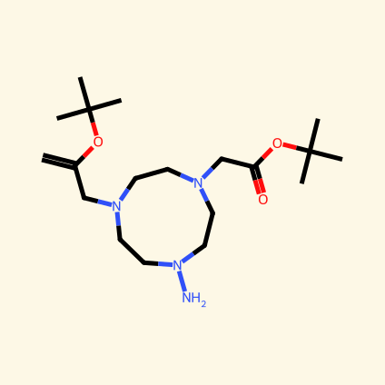 C=C(CN1CCN(N)CCN(CC(=O)OC(C)(C)C)CC1)OC(C)(C)C